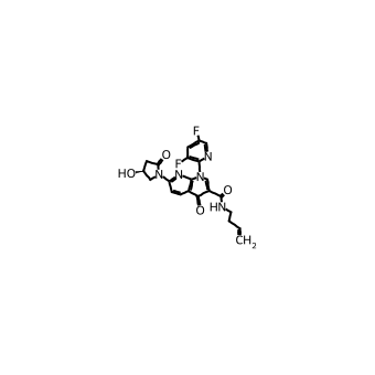 C=CCCNC(=O)c1cn(-c2ncc(F)cc2F)c2nc(N3C[C@@H](O)CC3=O)ccc2c1=O